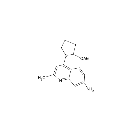 COC1CCCN1c1cc(C)nc2cc(N)ccc12